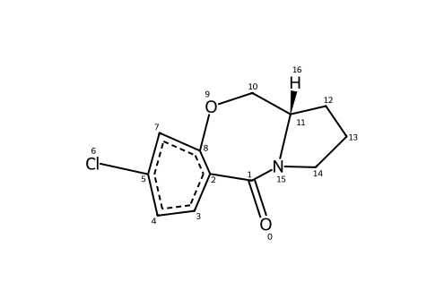 O=C1c2ccc(Cl)cc2OC[C@@H]2CCCN12